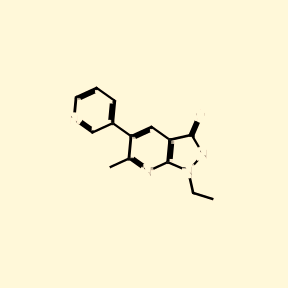 CCn1[nH]c(=O)c2cc(-c3cccnc3)c(C)nc21